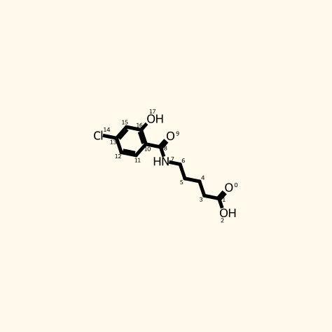 O=C(O)CCCCNC(=O)c1ccc(Cl)cc1O